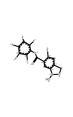 O=C(Oc1c(F)c(F)c(F)c(F)c1F)c1cc2c(cc1F)COB2O